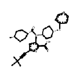 CC(C)(C)C#Cc1cc(N(C(=O)[C@H]2CC[C@H](C)CC2)[C@H]2CC[C@H](Sc3ccncc3)CC2)c(C(=O)O)s1